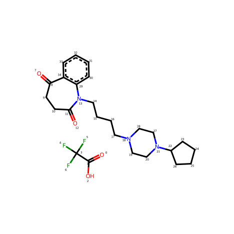 O=C(O)C(F)(F)F.O=C1CCC(=O)N(CCCCN2CCN(C3CCCC3)CC2)c2ccccc21